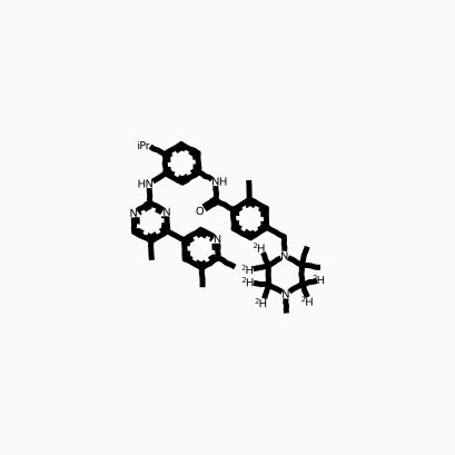 [2H]C1([2H])N(C)C([2H])([2H])C(C)(C)N(Cc2ccc(C(=O)Nc3ccc(C(C)C)c(Nc4ncc(C)c(-c5cnc(C)c(C)c5)n4)c3)c(C)c2)C1([2H])[2H]